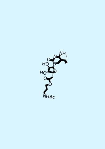 C=Cc1cn([C@@H]2O[C@H](CC(=O)OCCCNC(C)=O)[C@@H](O)[C@H]2O)c(=O)nc1N